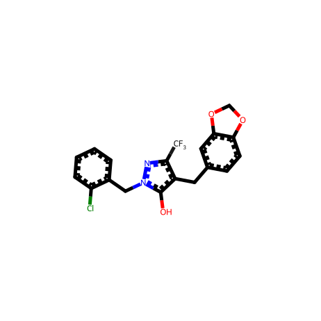 Oc1c(Cc2ccc3c(c2)OCO3)c(C(F)(F)F)nn1Cc1ccccc1Cl